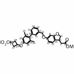 COC(=O)CC1COc2cc(OCc3cccc(-c4c(C)cc(OC5CN(C(=O)O)C5)cc4C)c3)ccc21